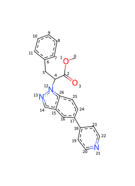 COC(=O)C(Cc1ccccc1)n1ncc2cc(-c3ccncc3)ccc21